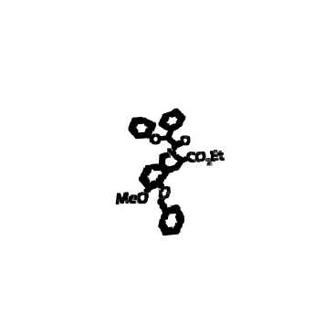 CCOC(=O)C1Cc2c(ccc(OC)c2OCc2ccccc2)CN1C(=O)C(Oc1ccccc1)c1ccccc1